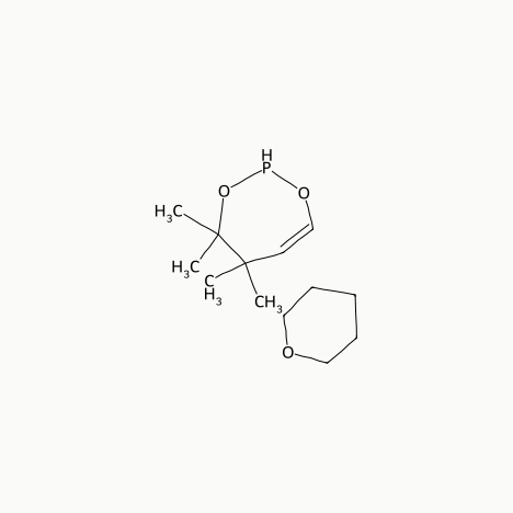 C1CCOCC1.CC1(C)C=COPOC1(C)C